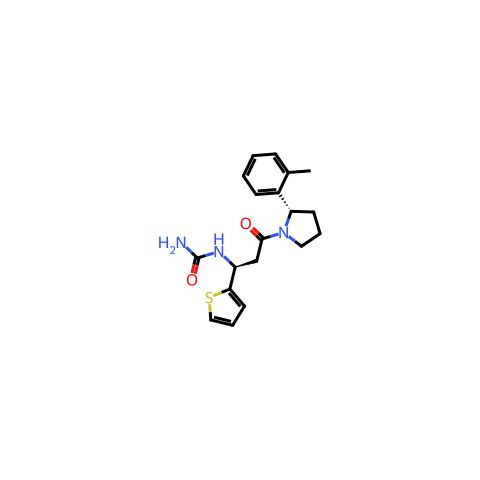 Cc1ccccc1[C@@H]1CCCN1C(=O)C[C@H](NC(N)=O)c1cccs1